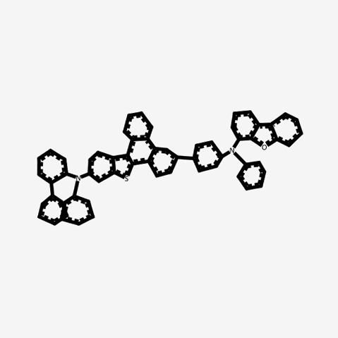 c1ccc(-c2ccccc2N(c2ccccc2)c2ccc3c(c2)sc2c4ccc(-c5ccc(N(c6ccccc6)c6cccc7c6oc6ccccc67)cc5)cc4c4ccccc4c32)cc1